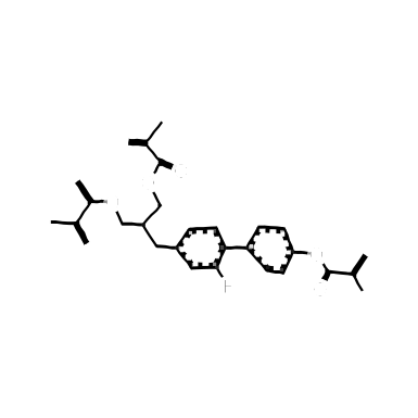 C=C(C)C(=C)OCC(COC(=O)C(=C)C)Cc1ccc(-c2ccc(OC(=O)C(=C)C)cc2)c(F)c1